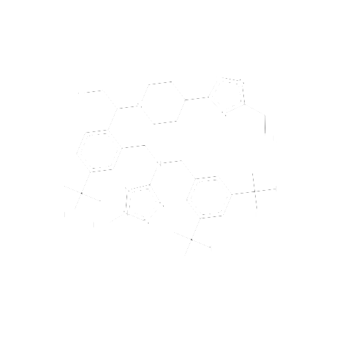 CCc1noc(C2CCN(C(CC)c3ccc(C(C)(F)F)cc3CN(Cc3cc(C(F)(F)F)cc(C(F)(F)F)c3)c3nnn(C)n3)CC2)n1